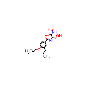 C=CCOc1ccc(C(=O)NC(CO)C(=O)NO)cc1CCC